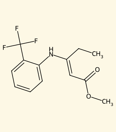 CCC(=CC(=O)OC)Nc1ccccc1C(F)(F)F